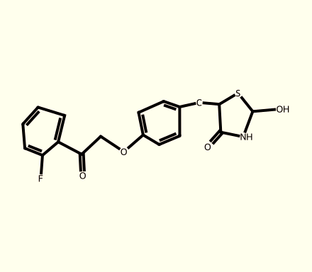 O=C(COc1ccc(CC2SC(O)NC2=O)cc1)c1ccccc1F